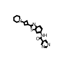 O=C(Nc1ccc2nc(C3CC(N4CCCCC4)C3)sc2c1)c1cncnc1